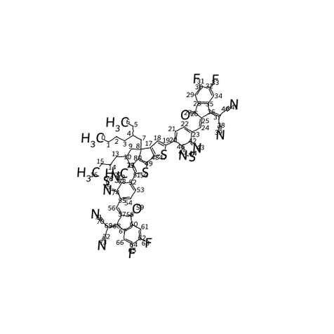 CCCCC(CC)CC1(CC(CC)CCCC)c2cc(-c3ccc(/C=C4\C(=O)c5cc(F)c(F)cc5C4=C(C#N)C#N)c4nsnc34)sc2-c2sc(-c3ccc(/C=C4\C(=O)c5cc(F)c(F)cc5C4=C(C#N)C#N)c4nsnc34)cc21